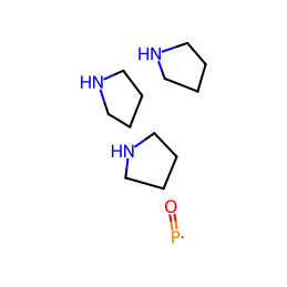 C1CCNC1.C1CCNC1.C1CCNC1.O=[P]